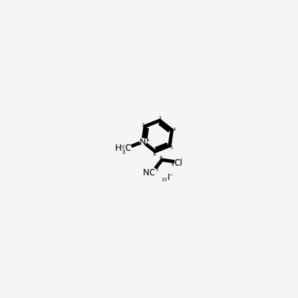 C[n+]1ccccc1.N#CCCl.[I-]